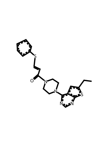 CCc1cc2c(N3CCN(C(=O)C=CSc4ccccc4)CC3)ncnc2s1